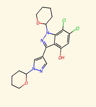 Oc1cc(Cl)c(Cl)c2c1c(-c1cnn(C3CCCCO3)c1)nn2C1CCCCO1